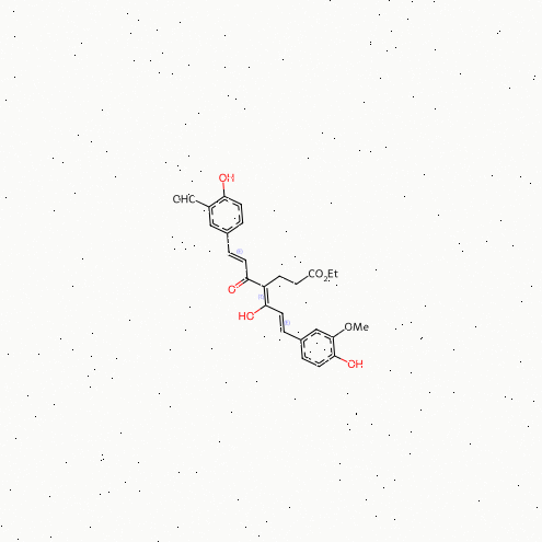 CCOC(=O)CC/C(C(=O)/C=C/c1ccc(O)c(C=O)c1)=C(O)\C=C\c1ccc(O)c(OC)c1